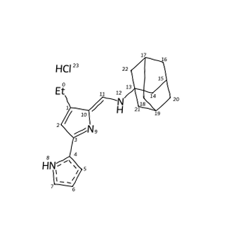 CCC1=CC(c2ccc[nH]2)=NC1=CNC12CC3CC(CC(C3)C1)C2.Cl